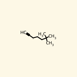 C#C[CH]CCC(C)(C)C